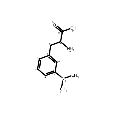 CN(C)c1cccc(CC(N)C(=O)O)c1